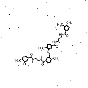 Cc1ccc(C(=O)NCCCNC(=O)c2ccc(C)c(CCc3cc(C(=O)NCCNC(=O)c4ccc(C)c(C)c4)ccc3C)c2)cc1C